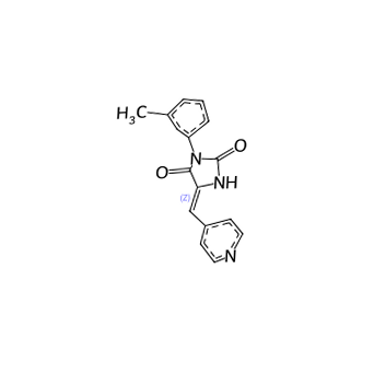 Cc1cccc(N2C(=O)N/C(=C\c3ccncc3)C2=O)c1